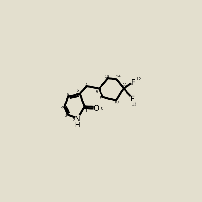 O=c1[nH]cccc1CC1CCC(F)(F)CC1